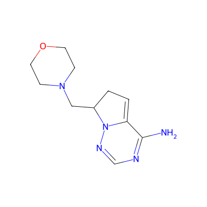 NC1=NC=NN2C1=CCC2CN1CCOCC1